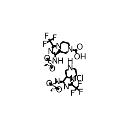 CS(=O)(=O)N=C1N=C(C(F)(F)F)N2CCNCC12.CS(=O)(=O)Nc1nc(C(F)(F)F)n2c1CN(C(=O)O)CC2.Cl